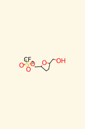 O=S(=O)(OCC1CCC(CO)O1)C(F)(F)F